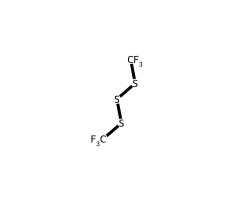 FC(F)(F)SSSC(F)(F)F